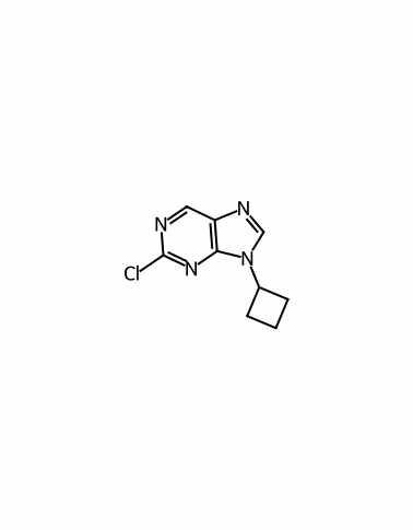 Clc1ncc2ncn(C3CCC3)c2n1